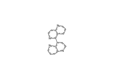 c1cnc2c(-c3nccc4ncccc34)ccnc2c1